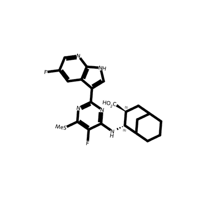 CSc1nc(-c2c[nH]c3ncc(F)cc23)nc(N[C@H]2C3CCCC(C3)C[C@@H]2C(=O)O)c1F